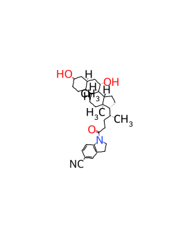 C[C@H](CCC(=O)N1CCc2cc(C#N)ccc21)[C@H]1CC[C@H]2[C@@H]3[C@@H](O)C[C@@H]4C[C@H](O)CC[C@]4(C)[C@H]3CC[C@]12C